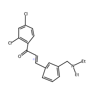 CCN(CC)Cc1cccc(/C=C/C(=O)c2ccc(Cl)cc2Cl)c1